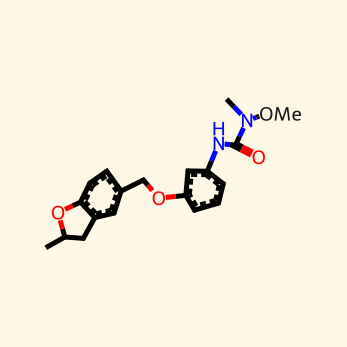 CON(C)C(=O)Nc1cccc(OCc2ccc3c(c2)CC(C)O3)c1